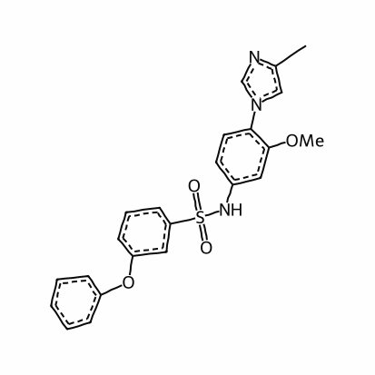 COc1cc(NS(=O)(=O)c2cccc(Oc3ccccc3)c2)ccc1-n1cnc(C)c1